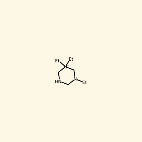 CCN1CNC[N+](CC)(CC)C1